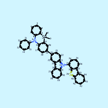 C[Si]1(C)c2ccccc2N(c2ccccc2)c2ccc(-c3ccc4c(c3)c3ccccc3n4-c3cccc4c3sc3ccccc34)cc21